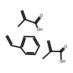 C=C(C)C(=O)O.C=C(C)C(=O)O.C=Cc1ccccc1